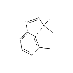 [CH2]c1cccc2c1C(C)(C)C=N2